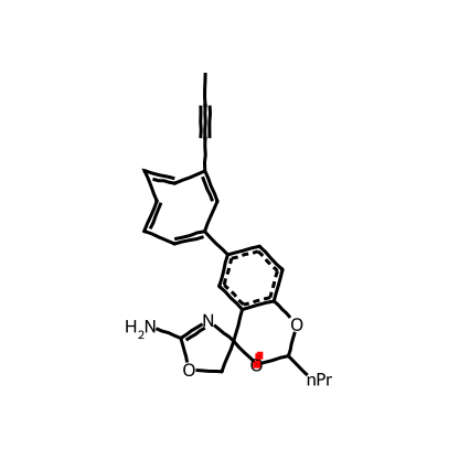 CC#CC1=C/C(c2ccc3c(c2)C2(COC(N)=N2)C2(COC2)C(CCC)O3)=C\C=C\C=C\1